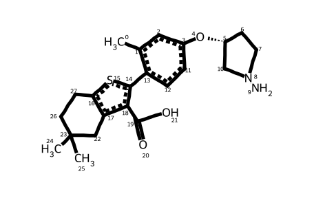 Cc1cc(O[C@@H]2CCN(N)C2)ccc1-c1sc2c(c1C(=O)O)CC(C)(C)CC2